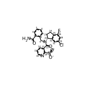 NC(=O)c1ccccc1CN(C(=O)c1cccnc1[N+](=O)[O-])[C@@H]1CCc2c(F)cc(Cl)cc21